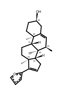 C[C@@H]1C=C2C[C@H](O)CC[C@]2(C)[C@H]2CC[C@]3(C)C(c4ccco4)=CC[C@H]3[C@H]12